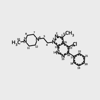 Cc1nn(CCN2CCN(C)CC2)c2nnc(-c3ccccc3)c(Cl)c12